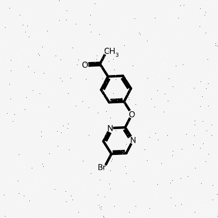 CC(=O)c1ccc(Oc2ncc(Br)cn2)cc1